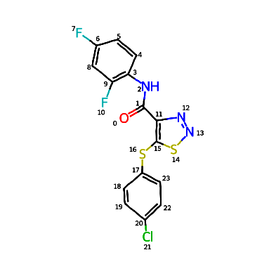 O=C(Nc1ccc(F)cc1F)c1nnsc1Sc1ccc(Cl)cc1